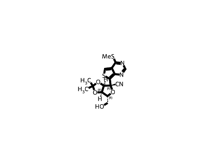 CSc1ncnc2c([C@]3(C#N)O[C@H](CO)[C@H]4OC(C)(C)O[C@H]43)scc12